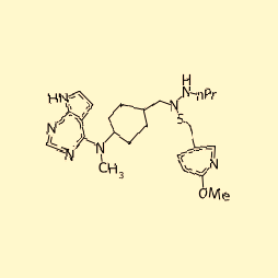 CCCNN(CC1CCC(N(C)c2ncnc3[nH]ccc23)CC1)SCc1ccc(OC)nc1